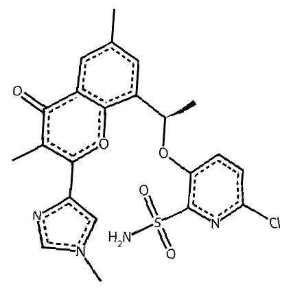 Cc1cc([C@@H](C)Oc2ccc(Cl)nc2S(N)(=O)=O)c2oc(-c3cn(C)cn3)c(C)c(=O)c2c1